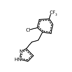 FC(F)(F)c1ccc(CCc2cc[nH]n2)c(Cl)c1